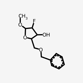 COC1OC(COCc2ccccc2)C(O)C1F